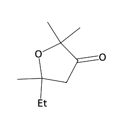 CCC1(C)CC(=O)C(C)(C)O1